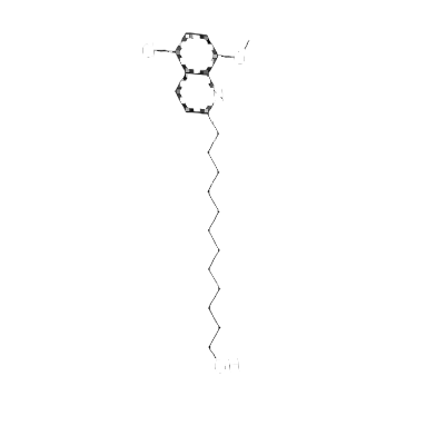 COc1ccc(Cl)c2ccc(CCCCCCCCCCCCO)nc12